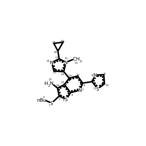 CCCCSc1sc2nc(-c3nccs3)cc(-c3cnc(C4CC4)n3C)c2c1N